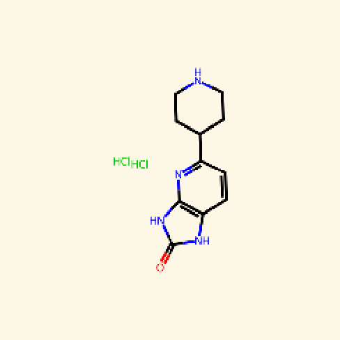 Cl.Cl.O=c1[nH]c2ccc(C3CCNCC3)nc2[nH]1